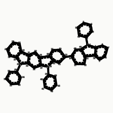 c1ccc(-n2c3ccccc3c3ccc(-c4ccc5c6cc7c8ccccc8n(-c8ccccc8)c7cc6n(-c6ccccc6)c5c4)cc32)cc1